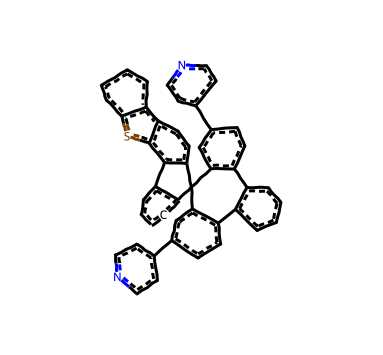 c1ccc2c(c1)-c1ccc(-c3ccncc3)cc1C1(c3cc(-c4ccncc4)ccc3-2)c2ccccc2-c2c1ccc1c2sc2ccccc21